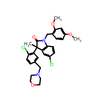 COc1ccc(CN2C(=O)C(C)(c3cc(CN4CCOCC4)ccc3Cl)c3cc(Cl)ccc32)c(OC)c1